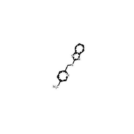 Cc1ccc(CSc2nc3ccccc3s2)nc1